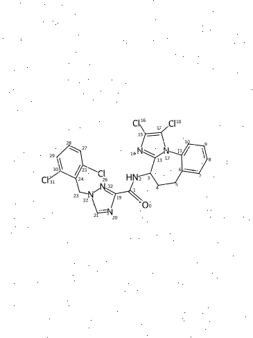 O=C(NC1CCc2ccccc2-n2c1nc(Cl)c2Cl)c1ncn(Cc2c(Cl)cccc2Cl)n1